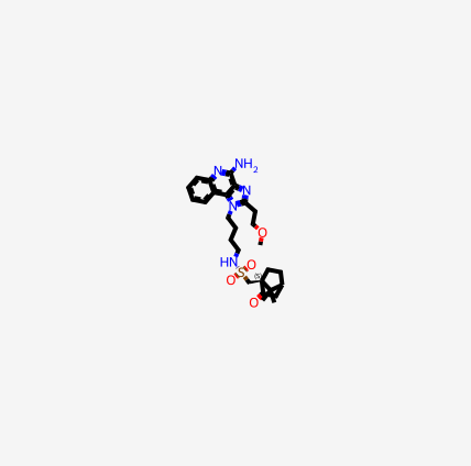 COCCc1nc2c(N)nc3ccccc3c2n1CCCCNS(=O)(=O)C[C@]12CCC(CC1=O)C2(C)C